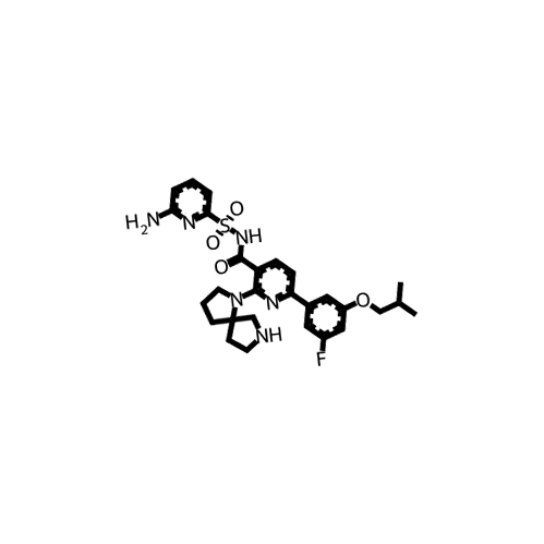 CC(C)COc1cc(F)cc(-c2ccc(C(=O)NS(=O)(=O)c3cccc(N)n3)c(N3CCCC34CCNC4)n2)c1